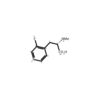 CN[C@@H](Cc1ccncc1F)C(=O)O